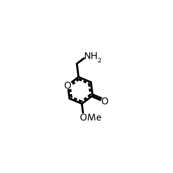 COc1coc(CN)cc1=O